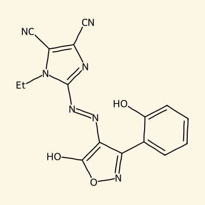 CCn1c(N=Nc2c(-c3ccccc3O)noc2O)nc(C#N)c1C#N